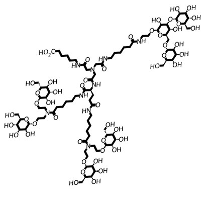 O=C(O)CCCCCNC(=O)CN(CC(=O)NCCCCCC(=O)NCCO[C@@H]1O[C@H](CO[C@H]2O[C@H](CO)[C@@H](O)[C@H](O)[C@@H]2O)[C@@H](O)[C@H](O[C@H]2O[C@H](CO)[C@@H](O)[C@H](O)[C@@H]2O)[C@H]1O)CC(=O)N[C@@H](CCC(=O)NCCCCCC(=O)N(CCO[C@H]1O[C@H](CO)[C@@H](O)[C@H](O)[C@@H]1O)CCO[C@H]1O[C@H](CO)[C@@H](O)[C@H](O)[C@@H]1O)C(=O)NCCCCCC(=O)N(CCO[C@H]1O[C@H](CO)[C@@H](O)[C@H](O)[C@@H]1O)CCO[C@H]1O[C@H](CO)[C@@H](O)[C@H](O)[C@@H]1O